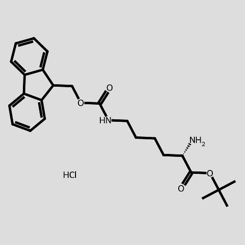 CC(C)(C)OC(=O)[C@@H](N)CCCCNC(=O)OCC1c2ccccc2-c2ccccc21.Cl